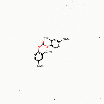 COc1ccc(OC(=O)Oc2ccc(OC)cc2C=O)c(C=O)c1